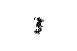 O=C(c1cncs1)N1CCCC(CNc2nc(-c3c[nH]c4ncc(Cl)cc34)ncc2F)C1